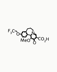 COc1c2n(cc(C(=O)O)c1=O)CCCc1cc(OCC(F)(F)F)ccc1-2